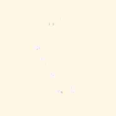 O=C(CBr)NCCCC[C@@H](NC(=O)COCCOCCNC(=O)COCCOCCNC(=O)CCCS(=O)(=O)NC(=O)CCCCCCCCCOc1ccc(C(=O)O)cc1)C(=O)O